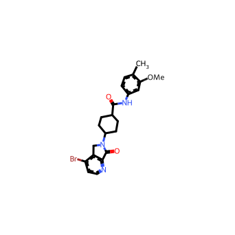 COc1cc(NC(=O)C2CCC(N3Cc4c(Br)ccnc4C3=O)CC2)ccc1C